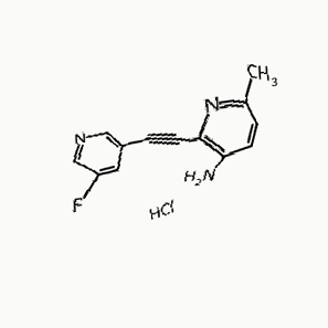 Cc1ccc(N)c(C#Cc2cncc(F)c2)n1.Cl